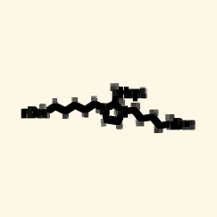 CCCCCCCCCCCCCCCN1C=CN(CCCCCCCCCCCCCC)C1CCCCCCC